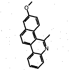 COc1ccc2c(ccc3c4ccccc4nc(C)c23)c1